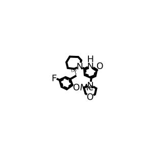 COc1ccc(F)cc1C[C@@H]1CCCCCN1c1cc(N2CCOCC2)cc(=O)[nH]1